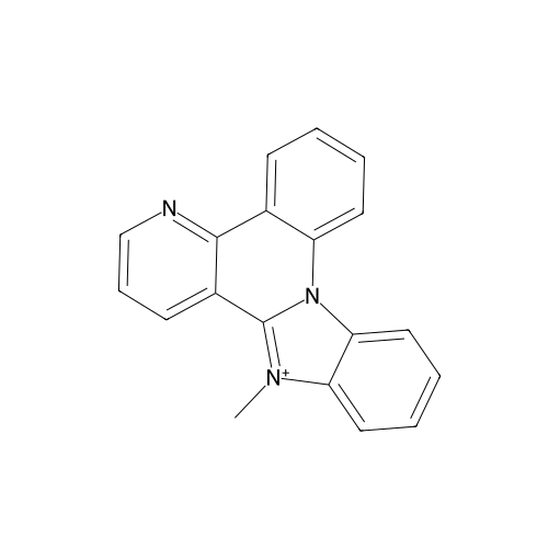 C[n+]1c2ccccc2n2c3ccccc3c3ncccc3c21